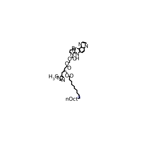 CCCCCCCC/C=C\CCCCCCCC(=O)OC[C@@H](CC(=O)OCOC(=O)N1CCN=C1Nc1ccc2nccnc2c1Br)Cc1cncn1C